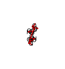 C#CCOc1cc2c(OCC#C)cccc2cc1C(=O)OCC(COCCCCOCC(COC(=O)c1cc2cccc(OCC#C)c2cc1OCC#C)OC(=O)CCC(=O)N(C)C)OC(=O)CCC(=O)N(C)C